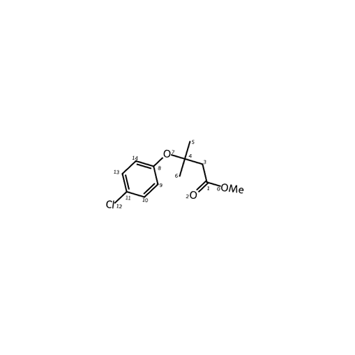 COC(=O)CC(C)(C)Oc1ccc(Cl)cc1